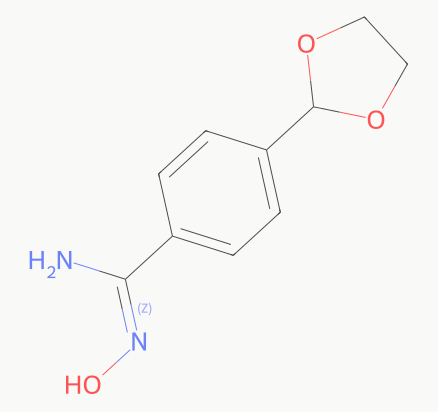 N/C(=N\O)c1ccc(C2OCCO2)cc1